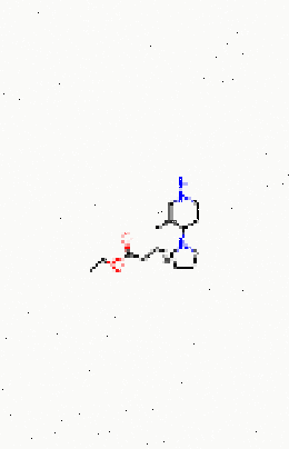 CCOC(=O)CC[C@@H]1CCCN1C1CCNCC1C